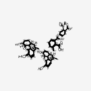 CN1CC[C@]23c4c5ccc(O)c4O[C@H]2[C@@H](O)C=C[C@H]3[C@H]1C5.CN1CC[C@]23c4c5ccc(O)c4O[C@H]2[C@@H](O)C=C[C@H]3[C@H]1C5.Cc1cccc(C(=O)O)c1C(=O)O.O=C(O)c1ccccc1[N+](=O)[O-]